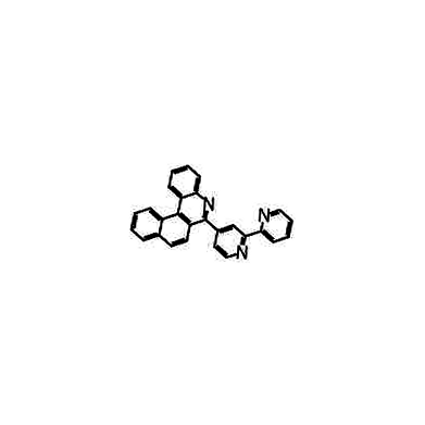 c1ccc(-c2cc(-c3nc4ccccc4c4c3ccc3ccccc34)ccn2)nc1